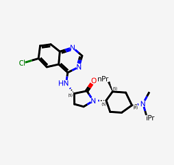 CCC[C@H]1C[C@H](N(C)C(C)C)CC[C@@H]1N1CC[C@H](Nc2ncnc3ccc(Cl)cc23)C1=O